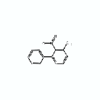 Cc1ccnc(-c2ccccc2)c1[N+](=O)[O-]